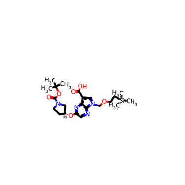 CC(C)(C)OC(=O)N1CC[C@@H](Oc2cnc3c(n2)c(C(=O)O)cn3COCC[Si](C)(C)C)C1